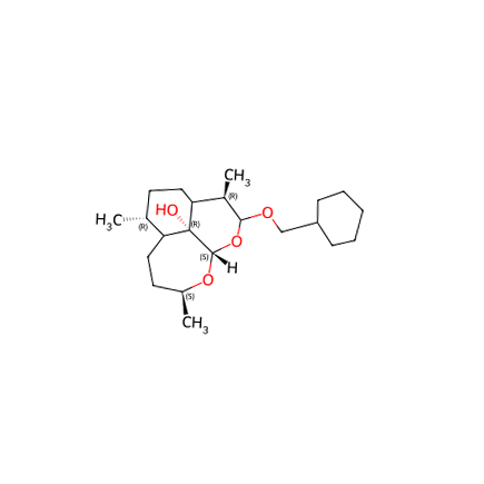 C[C@H]1C(OCC2CCCCC2)O[C@@H]2O[C@@H](C)CCC3[C@H](C)CCC1[C@]32O